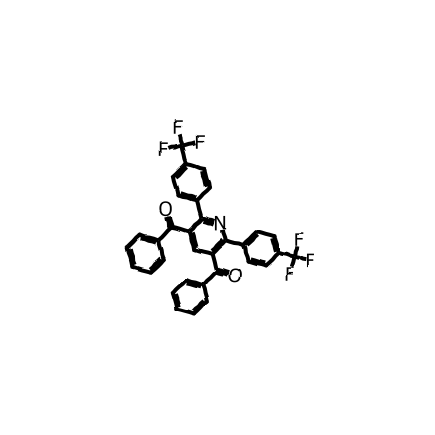 O=C(c1ccccc1)c1cc(C(=O)c2ccccc2)c(-c2ccc(C(F)(F)F)cc2)nc1-c1ccc(C(F)(F)F)cc1